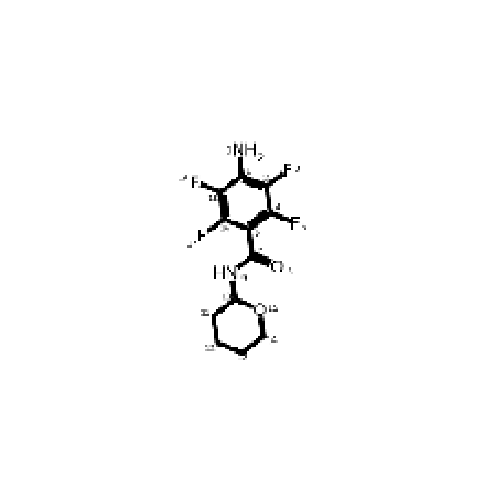 Nc1c(F)c(F)c(C(=O)NC2CCCCO2)c(F)c1F